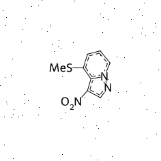 CSc1cccn2ncc([N+](=O)[O-])c12